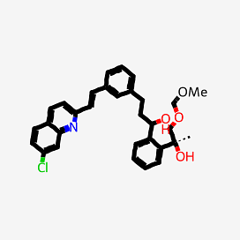 COCOC[C@@](C)(O)c1ccccc1C(O)CCc1cccc(/C=C/c2ccc3ccc(Cl)cc3n2)c1